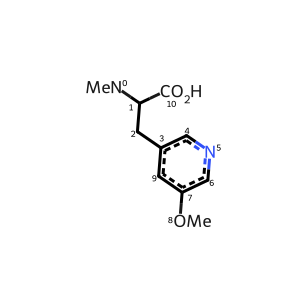 CNC(Cc1cncc(OC)c1)C(=O)O